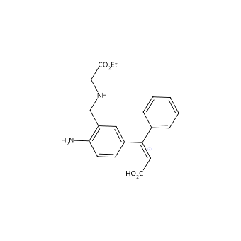 CCOC(=O)CNCc1cc(/C(=C\C(=O)O)c2ccccc2)ccc1N